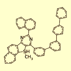 C[SiH]1c2c(-c3cccc(-c4cccc(-c5ccc(-c6ccccc6)cc5)c4)c3)nc(-c3cccc4ccccc34)nc2-c2ccc3ccccc3c21